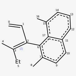 C=C/C(=C(\C)CC)c1c(C)ccc2cccc(C)c12